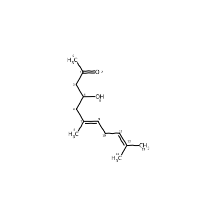 CC(=O)CC(O)CC(C)=CCC=C(C)C